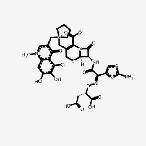 Cn1cc(C[N+]2(CC3=C(C(=O)[O-])N4C(=O)[C@@H](NC(=O)/C(=N\O[C@@H](CC(=O)O)C(=O)O)c5csc(N)n5)[C@H]4SC3)CCCC2)c(=O)c2c(Cl)c(O)c(O)cc21